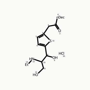 CCCCCCCCCCC(=O)Cc1ccc(C(O)C(CO)NCC)s1.Cl